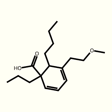 CCCCC1C(CCOC)=CC=CC1(CCC)C(=O)O